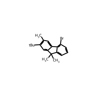 Cc1cc2c(cc1C(C)(C)C)C(C)(C)c1cccc(Br)c1-2